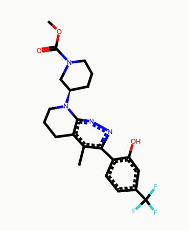 COC(=O)N1CCC[C@@H](N2CCCc3c2nnc(-c2ccc(C(F)(F)F)cc2O)c3C)C1